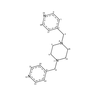 c1cc(CN2CCN(Cc3ccncc3)CC2)ccn1